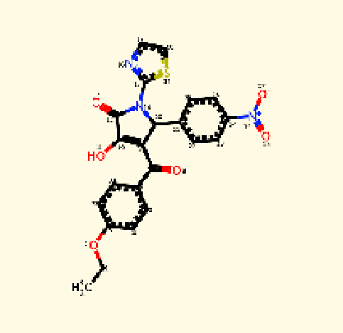 CCOc1ccc(C(=O)C2=C(O)C(=O)N(c3nccs3)C2c2ccc([N+](=O)[O-])cc2)cc1